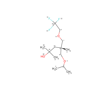 CC(C)OC[C@@](C)(COCC(F)(F)F)CC(C)(C)O